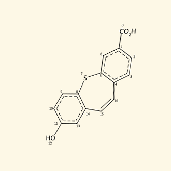 O=C(O)c1ccc2c(c1)Sc1ccc(O)cc1C=C2